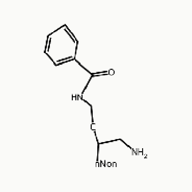 CCCCCCCCCC(CN)CCNC(=O)c1ccccc1